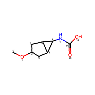 COC1CC2C(C1)C2NC(=O)O